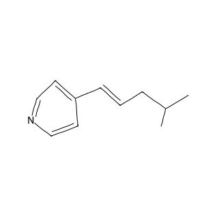 CC(C)C/C=C/c1ccncc1